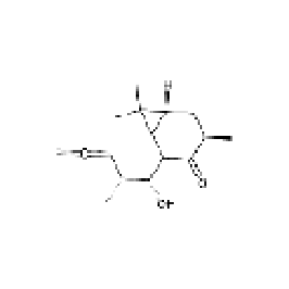 C=C=C[C@@H](C)[C@@H](O)C1C(=O)[C@H](C)C[C@@H]2C1C2(C)C